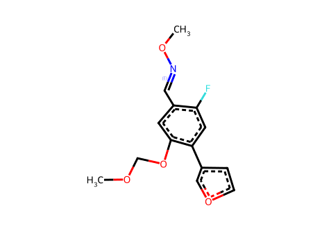 COCOc1cc(/C=N/OC)c(F)cc1-c1ccoc1